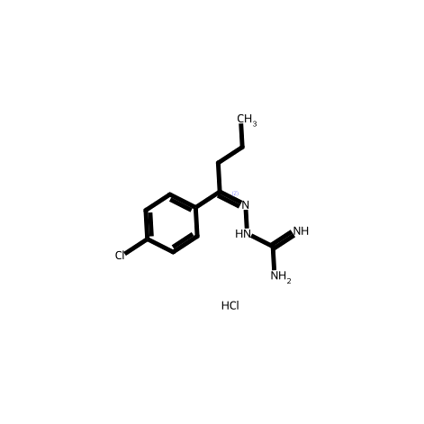 CCC/C(=N/NC(=N)N)c1ccc(Cl)cc1.Cl